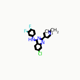 C=N/C=C\C(=C/C)c1nc(Nc2ccc(F)c(F)c2)c2ccc(Cl)cc2n1